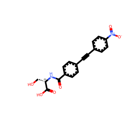 O=C(N[C@@H](CO)C(=O)O)c1ccc(C#Cc2ccc([N+](=O)[O-])cc2)cc1